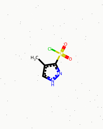 Cc1c[nH]nc1S(=O)(=O)Cl